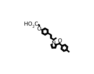 Cc1ccc(C(=O)c2cccn2C(C)/C=C/c2ccc(OCC(=O)O)cc2)cc1